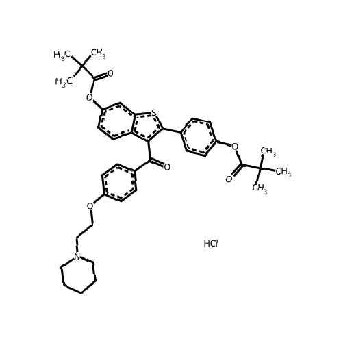 CC(C)(C)C(=O)Oc1ccc(-c2sc3cc(OC(=O)C(C)(C)C)ccc3c2C(=O)c2ccc(OCCN3CCCCC3)cc2)cc1.Cl